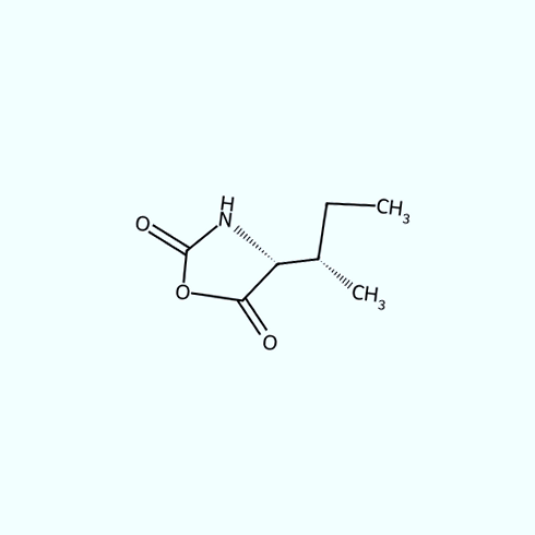 CC[C@H](C)[C@H]1NC(=O)OC1=O